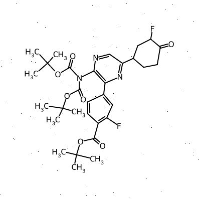 CC(C)(C)OC(=O)c1ccc(-c2nc(C3CCC(=O)C(F)C3)cnc2N(C(=O)OC(C)(C)C)C(=O)OC(C)(C)C)cc1F